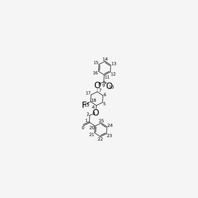 C=C(COC1CC[C@@H](OC(=O)c2ccccc2)C[C@@H]1F)c1ccccc1